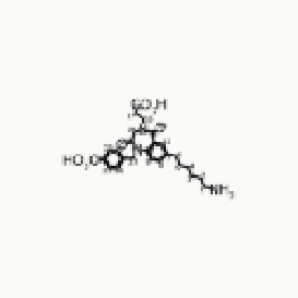 NCCCCCCc1ccc2c(c1)C(=O)N(CCC(=O)O)CC(=O)N2Cc1ccc(C(=O)O)cc1